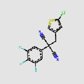 N#CC(C#N)(Cc1csc(Cl)c1)c1cc(F)c(F)c(F)c1